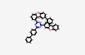 c1ccc(-c2ccc(-c3nc(-c4ccc5c(c4)oc4ccccc45)nc(-c4cccc5oc6ccc(-c7ccccc7)cc6c45)n3)cc2)cc1